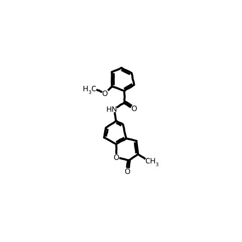 COc1ccccc1C(=O)Nc1ccc2oc(=O)c(C)cc2c1